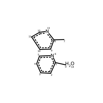 Cc1ccccn1.Cc1ccccn1.O